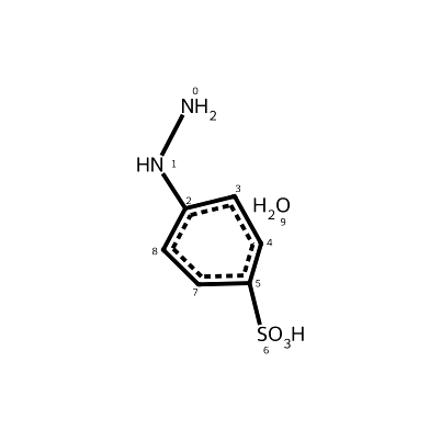 NNc1ccc(S(=O)(=O)O)cc1.O